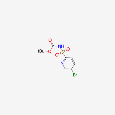 CC(C)(C)OC(=O)NS(=O)(=O)c1ccc(Br)cn1